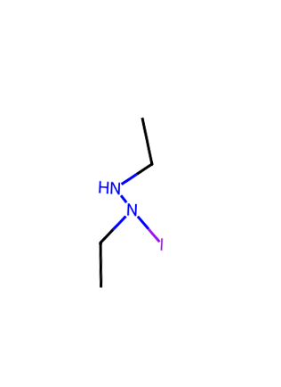 CCNN(I)CC